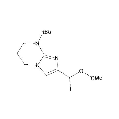 COOC(C)c1cn2c(n1)N(C(C)(C)C)CCC2